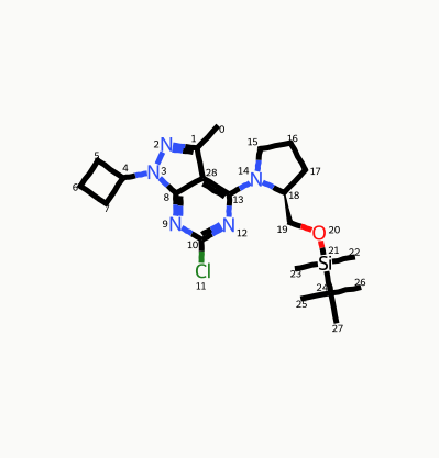 Cc1nn(C2CCC2)c2nc(Cl)nc(N3CCC[C@H]3CO[Si](C)(C)C(C)(C)C)c12